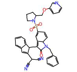 N#CC(C#N)C1=Cc2ccccc2C1C1=C2C=C(S(=O)(=O)N3CCCC3COc3cccnc3)C=CC2N(Cc2ccccc2)C1=O